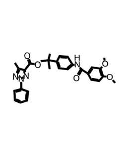 COc1ccc(C(=O)Nc2ccc(C(C)(C)COC(=O)c3nn(-c4ccccc4)nc3C)cc2)cc1OC